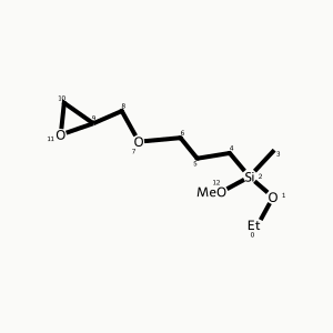 CCO[Si](C)(CCCOCC1CO1)OC